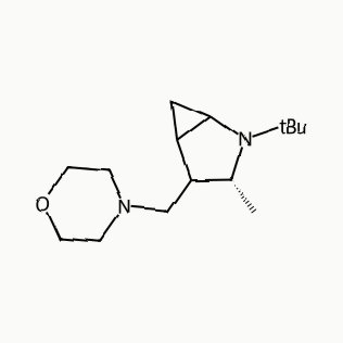 C[C@@H]1C(CN2CCOCC2)C2CC2N1C(C)(C)C